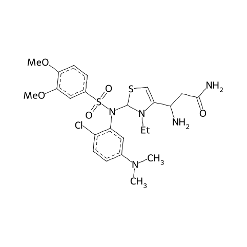 CCN1C(C(N)CC(N)=O)=CSC1N(c1cc(N(C)C)ccc1Cl)S(=O)(=O)c1ccc(OC)c(OC)c1